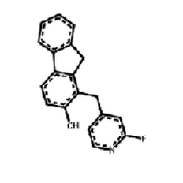 Oc1ccc2c(c1Cc1ccnc(F)c1)Cc1ccccc1-2